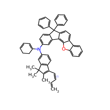 C=C/C=C\C1=C(C)C(C)(C)c2cc(N(C3=CC=CCC3)c3ccc4c(c3)-c3c(ccc5c3oc3ccccc35)C4(c3ccccc3)c3ccccc3)ccc21